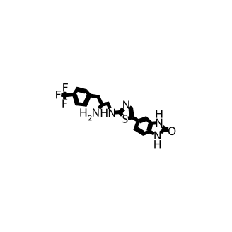 NC(CNc1ncc(-c2ccc3[nH]c(=O)[nH]c3c2)s1)Cc1ccc(C(F)(F)F)cc1